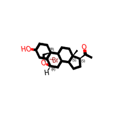 CC(=O)[C@H]1CCC2C3C[C@H]4OC[C@@]5(CCC(O)C[C@]45Br)C3CC[C@@]21C